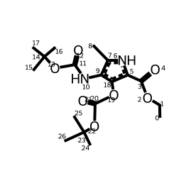 CCOC(=O)c1[nH]c(C)c(NC(=O)OC(C)(C)C)c1OC(=O)OC(C)(C)C